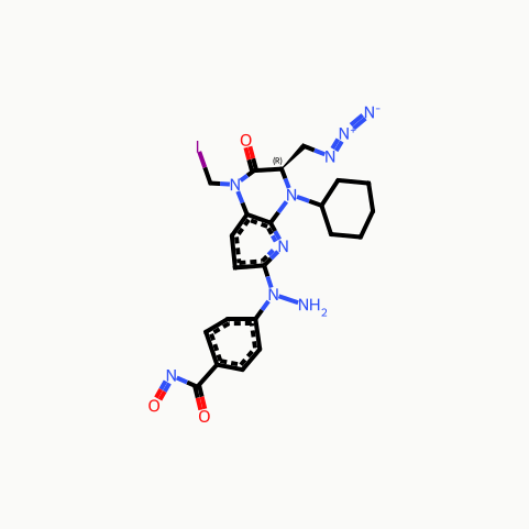 [N-]=[N+]=NC[C@@H]1C(=O)N(CI)c2ccc(N(N)c3ccc(C(=O)N=O)cc3)nc2N1C1CCCCC1